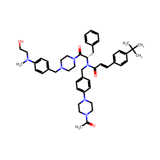 CC(=O)N1CCN(c2ccc(CN(C(=O)/C=C/c3ccc(C(C)(C)C)cc3)[C@@H](Cc3ccccc3)C(=O)N3CCN(Cc4ccc(N(C)CCO)cc4)CC3)cc2)CC1